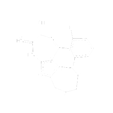 C[C@@H]1N=C(c2c(F)cccc2F)c2c(sc3c2CCCCC3)NC1=N